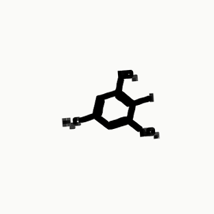 Cc1cc([N+](=O)[O-])c(I)c([N+](=O)[O-])c1